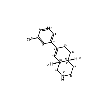 Clc1cncc(C2=C[C@H]3CNCC[C@H]3CC2)c1